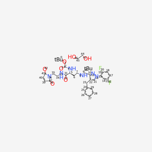 CC(C)(C)OC(=O)N[C@@H](CCN[C@@H](c1nn(-c2cc(F)ccc2F)cc1Cc1ccccc1)C(C)(C)C)C(=O)NCCN1C(=O)C=CC1=O.OCCO